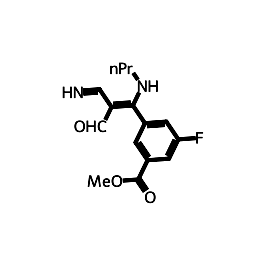 CCCN/C(=C(\C=N)C=O)c1cc(F)cc(C(=O)OC)c1